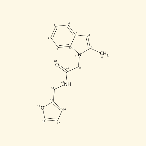 Cc1cc2ccccc2n1CC(=O)NCc1ccco1